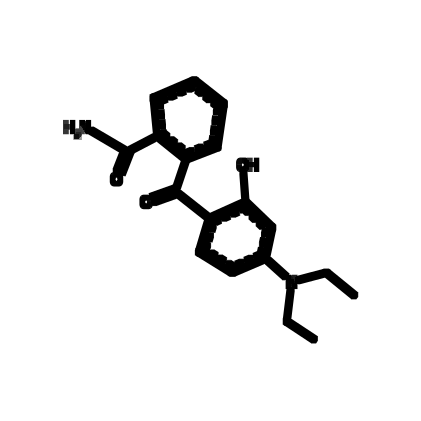 CCN(CC)c1ccc(C(=O)c2ccccc2C(N)=O)c(O)c1